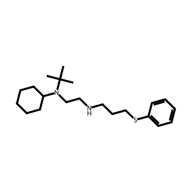 CC(C)(C)N(CCNCCCSc1ccccc1)C1CCCCC1